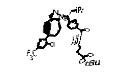 CC(C)C[C@H](c1ccc(C(=O)NCCC(=O)OC(C)(C)C)cc1)n1ncc2cc(-c3ccc(C(F)(F)F)cc3Cl)ccc21